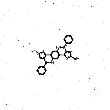 CCCc1cc2c(s1)-c1cc3c(cc1NB2c1ccccc1)-c1sc(CCC)cc1B(c1ccccc1)N3